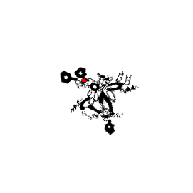 CC(=O)OC[C@H]1O[C@@H](O[C@H]2[C@H](O[C@H]3O[C@H]([C@H](C)N(C)C(=O)OCc4ccccc4)CC[C@H]3N=[N+]=[N-])[C@@H](NC(=O)OCc3ccccc3)[C@H](OCc3ccccc3)[C@H]3NC(=O)O[C@@H]32)[C@H](OC(C)=O)[C@@H]1O[C@H]1O[C@@H](CN=[N+]=[N-])[C@H](O)[C@H](O)[C@H]1N=[N+]=[N-]